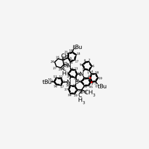 CC(C)(C)c1ccc(-c2ccccc2N2c3cc(N4c5ccc(C(C)(C)C)cc5C5(C)CCCCC45C)cc4c3B3c5c(cccc5C(C)(C)c5cccc2c53)N4c2ccc(C(C)(C)C)cc2)cc1